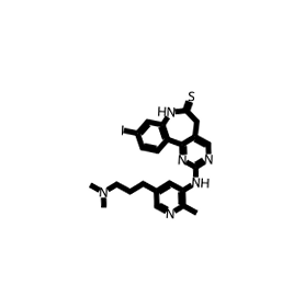 Cc1ncc(CCCN(C)C)cc1Nc1ncc2c(n1)-c1ccc(I)cc1NC(=S)C2